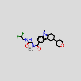 CCN(CC(=O)NCC(F)F)C(=O)c1ccc2c(c1)c1c(n2C)CCC(C2CCOCC2)C1